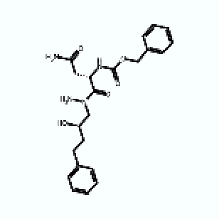 NC(=O)C[C@H](NC(=O)OCc1ccccc1)C(=O)N(N)C[C@H](O)CCc1ccccc1